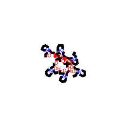 C=CC[N+]1(CC(O)COCC(COCC(O)C[N+]2(CC=C)CCCCC2)(COCC(O)C[N+]2(CC=C)CCCCC2)COCC(COCC(O)C[N+]2(CC=C)CCCCC2)(COCC(O)C[N+]2(CC=C)CCCCC2)COCC(O)C[N+]2(CC=C)CCCCC2)CCCCC1